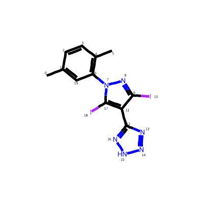 Cc1ccc(C)c(-n2nc(I)c(-c3nn[nH]n3)c2I)c1